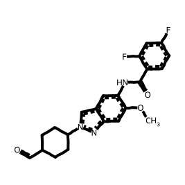 COc1cc2nn(C3CCC(C=O)CC3)cc2cc1NC(=O)c1ccc(F)cc1F